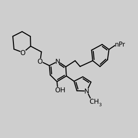 CCCc1ccc(CCc2nc(OCC3CCCCO3)cc(O)c2-c2ccn(C)c2)cc1